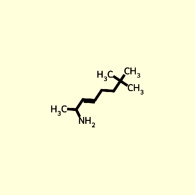 CC(N)/C=C/CCC(C)(C)C